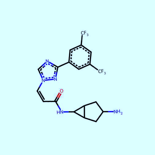 NC1CC2C(C1)C2NC(=O)/C=C\n1cnc(-c2cc(C(F)(F)F)cc(C(F)(F)F)c2)n1